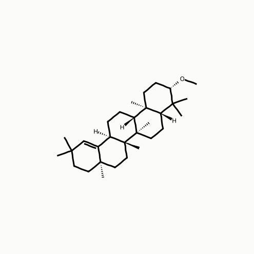 CO[C@H]1CC[C@]2(C)[C@H]3CC[C@@H]4C5=CC(C)(C)CC[C@]5(C)CC[C@@]4(C)[C@]3(C)CC[C@H]2C1(C)C